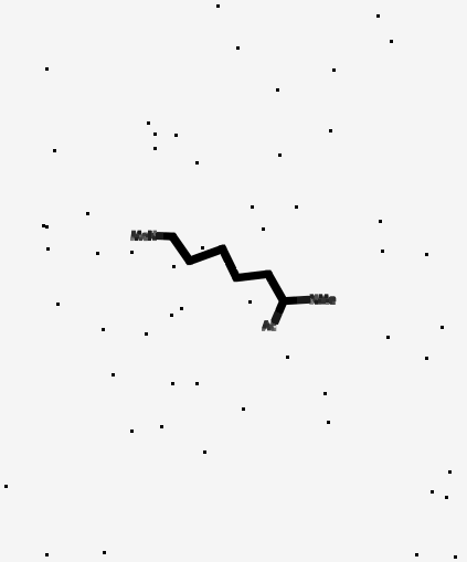 CNCCCCCC(NC)C(C)=O